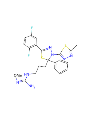 CO/N=C(/N)NCCCC1(c2ccccc2)SC(c2cc(F)ccc2F)=NN1c1nnc(C)s1